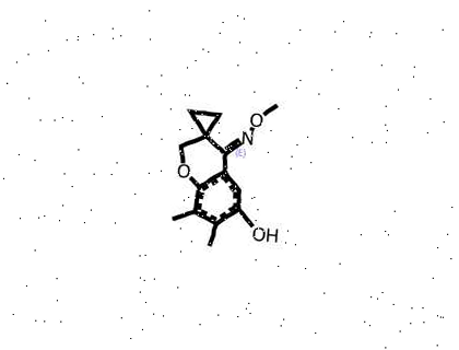 CO/N=C1/c2cc(O)c(C)c(C)c2OCC12CC2